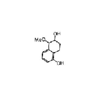 COC1c2cccc(O)c2CCC1O